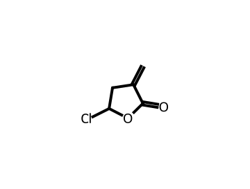 C=C1CC(Cl)OC1=O